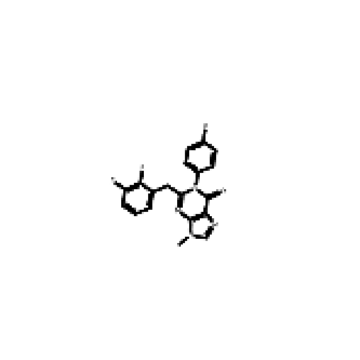 Cn1cnc2c(=O)n(-c3ccc(F)cc3)c(Cc3cccc(F)c3F)nc21